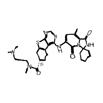 Cc1cc(Nc2ncnc3sc4c(c23)CC[C@H](C(=O)N(C)CCN(C)C)C4)c(=O)n2c1C(=O)NC21CCCCC1